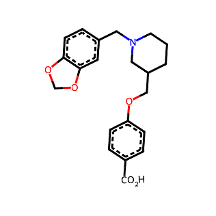 O=C(O)c1ccc(OCC2CCCN(Cc3ccc4c(c3)OCO4)C2)cc1